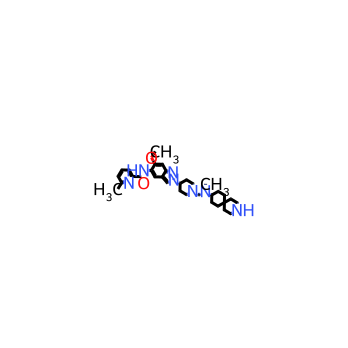 COc1cc2nn(C3CCN(CN(C)C4CCC5(CCNCC5)CC4)CC3)cc2cc1NC(=O)c1cccc(C)n1